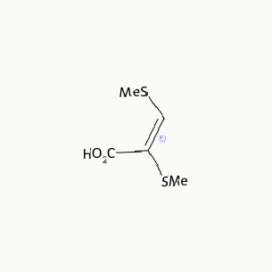 CS/C=C(/SC)C(=O)O